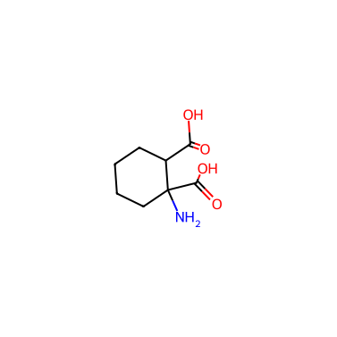 NC1(C(=O)O)CCCCC1C(=O)O